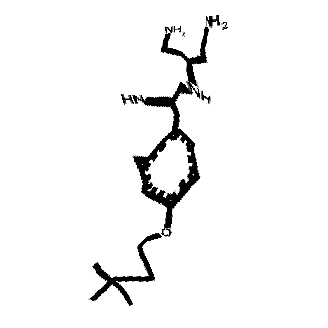 CC(C)(C)CCOc1ccc(C(=N)NC(CN)CN)cc1